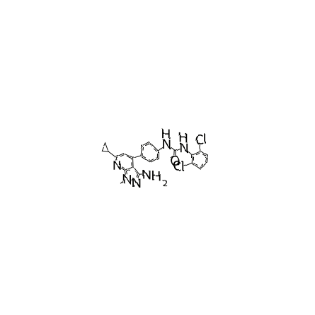 Cn1nc(N)c2c(-c3ccc(NC(=O)Nc4c(Cl)cccc4Cl)cc3)cc(C3CC3)nc21